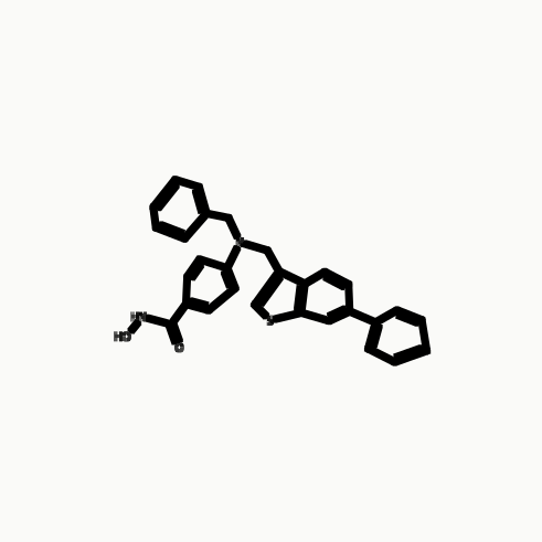 O=C(NO)c1ccc(N(Cc2ccccc2)Cc2csc3cc(-c4ccccc4)ccc23)cc1